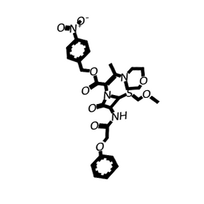 COCSC1C(NC(=O)COc2ccccc2)C(=O)N1/C(C(=O)OCc1ccc([N+](=O)[O-])cc1)=C(/C)N1CCOCC1